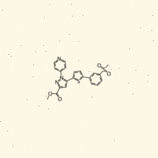 COC(=O)c1cc(-c2ccc(-c3cccc(S(C)(=O)=O)c3)s2)n(-c2ccncc2)n1